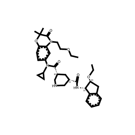 CCOCCN1C(=O)C(C)(C)Oc2ccc(N(C(=O)[C@H]3CNC[C@@H](C(=O)N[C@H]4c5ccccc5C[C@H]4OCC)C3)C3CC3)cc21